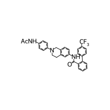 CC(=O)Nc1ccc(N2CCc3cc(NC(=O)c4ccccc4-c4ccc(C(F)(F)F)cc4)ccc3C2)cc1